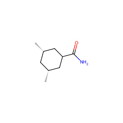 C[C@@H]1CC(C(N)=O)C[C@H](C)C1